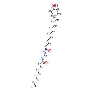 CCCCCCCCCC(=O)NCNC(=O)CCCCCCCCCCc1ccc(O)cc1